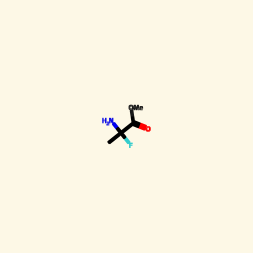 COC(=O)C(C)(N)F